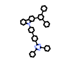 c1ccc(-c2cc(-c3ccccc3)cc(-c3ccc4c5ccccc5n(-c5ccc(-c6ccc(-c7nc(-c8ccccc8)nc(-c8ccccc8)n7)cc6)cc5)c4c3)c2)cc1